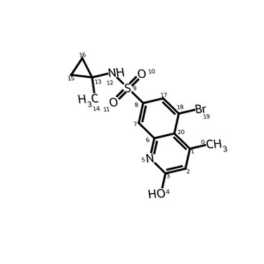 Cc1cc(O)nc2cc(S(=O)(=O)NC3(C)CC3)cc(Br)c12